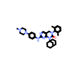 Cc1cccc(C)c1N1Cc2cnc(Nc3ccc(N4CCN(C)CC4)cc3)nc2N(C23CCCC(CCC2)C3)C1=O